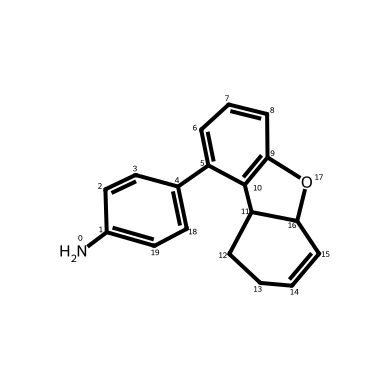 Nc1ccc(-c2cccc3c2C2CCC=CC2O3)cc1